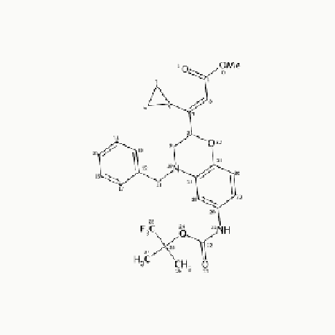 COC(=O)C=C(C1CC1)C1CN(Cc2ccccc2)c2cc(NC(=O)OC(C)(C)C(F)(F)F)ccc2O1